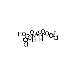 O=C(COc1ccc(Cl)c(F)c1)NC12CC(C1)C(NC(=O)C1CC(O)c3ccc(Cl)cc3O1)C2